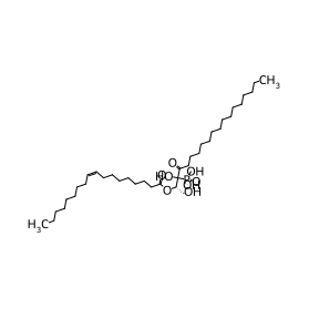 CCCCCCCC/C=C\CCCCCCCC(=O)O[C@@H](CO)C(O)(C(=O)CCCCCCCCCCCCCCC)P(=O)(O)O